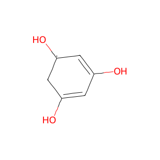 O[C]1C=C(O)C=C(O)C1